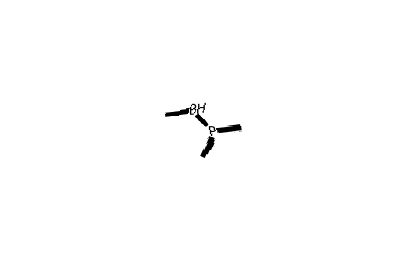 CBP(C)C